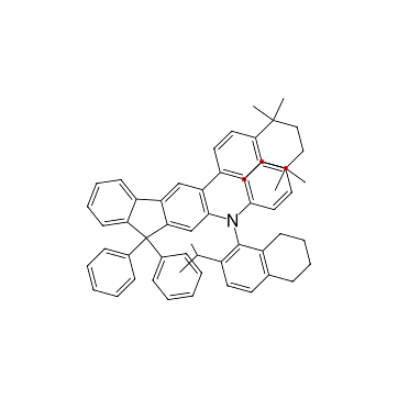 CC(C)c1ccc2c(c1N(c1ccccc1)c1cc3c(cc1-c1ccc4c(c1)C(C)(C)CCC4(C)C)-c1ccccc1C3(c1ccccc1)c1ccccc1)CCCC2